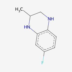 CC1CNc2ccc(F)cc2N1